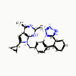 CC1=NC(C)Nc2c1cc(C1CC1)n2Cc1ccc(-c2ccccc2-c2nnn[nH]2)cc1